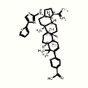 C=C(C)[C@@H]1CC[C@]2(Nc3nc(-c4cccs4)cs3)CC[C@]3(C)[C@H](CC[C@@H]4[C@@]5(C)CC=C(c6ccc(C(=O)O)cc6)C(C)(C)[C@@H]5CC[C@]43C)[C@@H]12